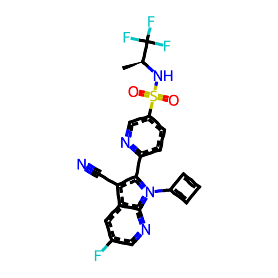 C[C@H](NS(=O)(=O)c1ccc(-c2c(C#N)c3cc(F)cnc3n2C2=CC=C2)nc1)C(F)(F)F